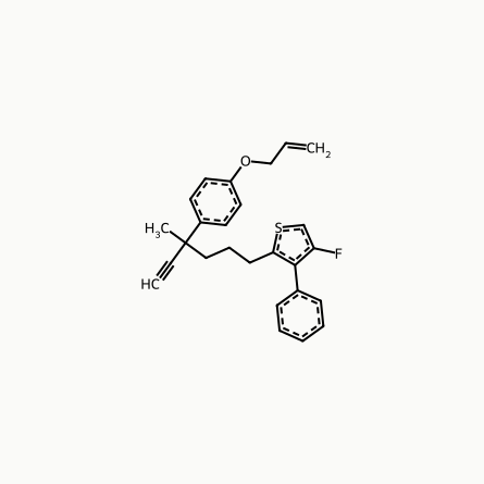 C#CC(C)(CCCc1scc(F)c1-c1ccccc1)c1ccc(OCC=C)cc1